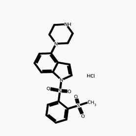 CS(=O)(=O)c1ccccc1S(=O)(=O)n1ccc2c(N3CCNCC3)cccc21.Cl